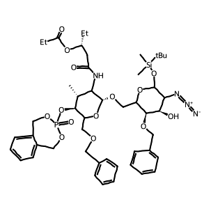 CCC(=O)O[C@H](CC)CC(=O)NC1[C@H](OCC2OC(O[Si](C)(C)C(C)(C)C)C(N=[N+]=[N-])[C@@H](O)[C@H]2OCc2ccccc2)OC(COCc2ccccc2)[C@@H](OP2(=O)OCc3ccccc3CO2)[C@@H]1C